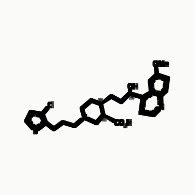 COc1ccc2nccc([C@H](O)CC[C@@H]3CCN(CCCc4sccc4Cl)C[C@@H]3C(=O)O)c2c1